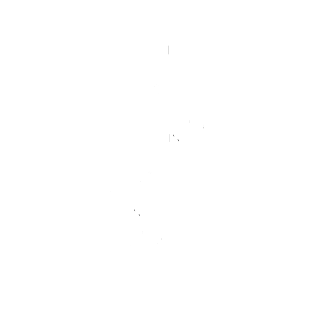 CC(C)CC(=O)N1CCCc2cc(C(C)NC(=O)c3ccc(Cl)cc3)ccc21